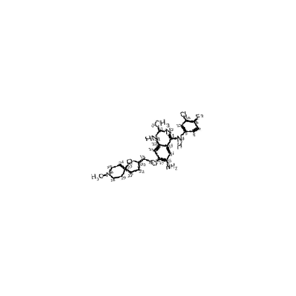 CC1N=C(Nc2ccc(F)c(Cl)c2)c2cc(N)c(OCC3CCC4(CCN(C)CC4)O3)cc2N1